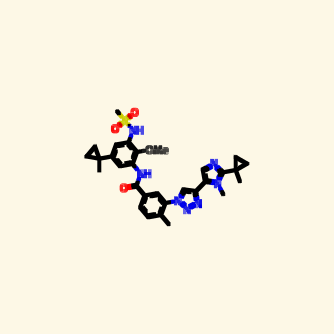 COc1c(NC(=O)c2ccc(C)c(-n3cc(-c4cnc(C5(C)CC5)n4C)nn3)c2)cc(C2(C)CC2)cc1NS(C)(=O)=O